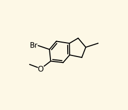 COc1cc2c(cc1Br)CC(C)C2